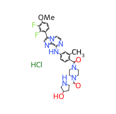 COc1ccc(-c2cnc3c(Nc4ccc(C(=O)N5CCN(C(=O)[C@@H]6C[C@@H](O)CN6)CC5)c(C)c4)nccn23)c(F)c1F.Cl